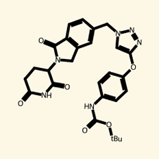 CC(C)(C)OC(=O)Nc1ccc(Oc2cn(Cc3ccc4c(c3)CN(C3CCC(=O)NC3=O)C4=O)nn2)cc1